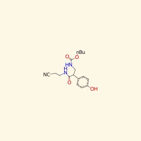 CCCCOC(=O)NCC(C(=O)NCCC#N)c1ccc(O)cc1